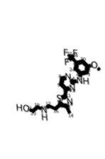 COc1cc(Nc2nccc(-c3nc(C)c(CCNCCO)s3)n2)cc(C(F)(F)F)c1